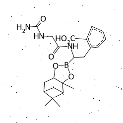 CC1(C)C2CC3OB(C(Cc4ccccc4C(=O)O)NC(=O)CNC(N)=O)OC3(C)C1C2